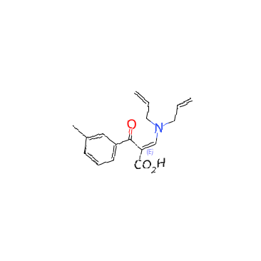 C=CCN(/C=C(/C(=O)O)C(=O)c1cccc(C)c1)CC=C